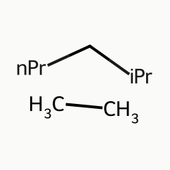 CC.CCCCC(C)C